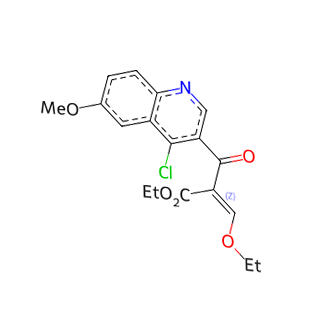 CCO/C=C(\C(=O)OCC)C(=O)c1cnc2ccc(OC)cc2c1Cl